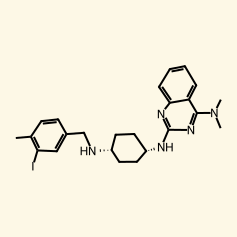 Cc1ccc(CN[C@H]2CC[C@@H](Nc3nc(N(C)C)c4ccccc4n3)CC2)cc1I